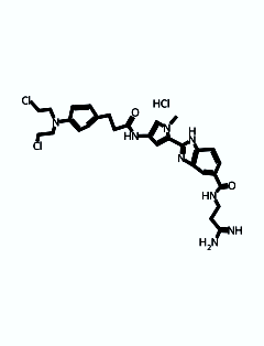 Cl.Cn1cc(NC(=O)CCc2ccc(N(CCCl)CCCl)cc2)cc1-c1nc2cc(C(=O)NCCC(=N)N)ccc2[nH]1